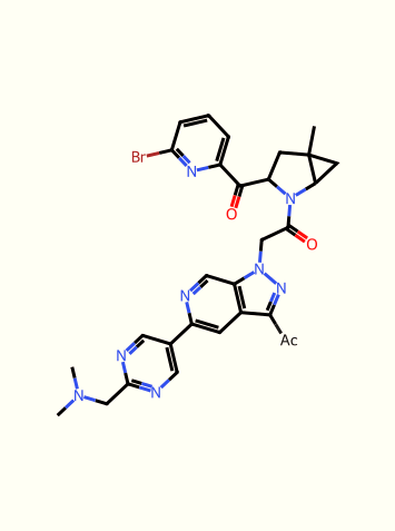 CC(=O)c1nn(CC(=O)N2C(C(=O)c3cccc(Br)n3)CC3(C)CC23)c2cnc(-c3cnc(CN(C)C)nc3)cc12